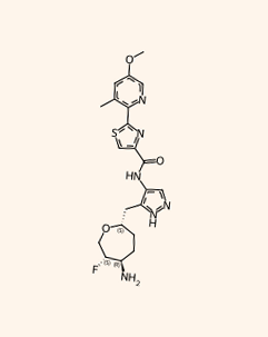 COc1cnc(-c2nc(C(=O)Nc3cn[nH]c3C[C@@H]3CC[C@@H](N)[C@H](F)CO3)cs2)c(C)c1